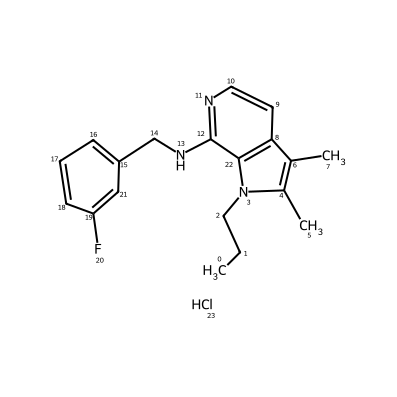 CCCn1c(C)c(C)c2ccnc(NCc3cccc(F)c3)c21.Cl